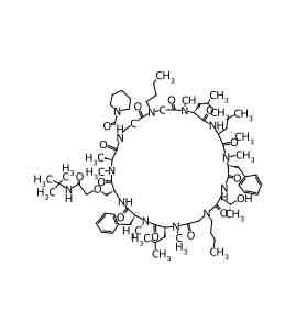 CCCCN1CC(=O)N(C)[C@@H](CC(C)C)C(=O)N[C@@H]([C@@H](C)CC)C(=O)N(C)[C@@H](Cc2ccccc2)C(=O)N[C@@H]([C@@H](C)O)C(=O)N(CCCC)CC(=O)N(C)[C@@H](CC(C)C)C(=O)N(C)[C@@H](Cc2ccccc2)C(=O)N[C@@H](COCC(=O)NC(C)(C)C)C(=O)N(C)[C@@H](C)C(=O)N[C@H](C(=O)N2CCCCC2)CC1=O